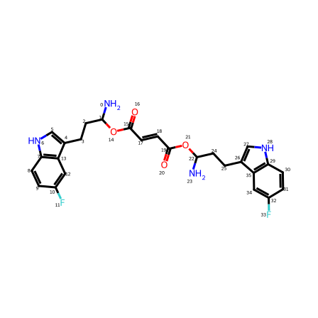 NC(CCc1c[nH]c2ccc(F)cc12)OC(=O)/C=C/C(=O)OC(N)CCc1c[nH]c2ccc(F)cc12